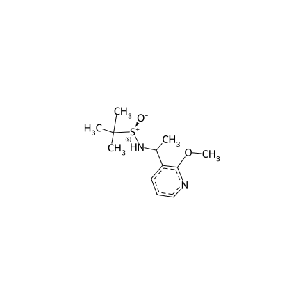 COc1ncccc1C(C)N[S@+]([O-])C(C)(C)C